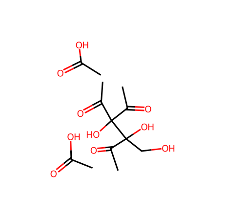 CC(=O)C(O)(CO)C(O)(C(C)=O)C(C)=O.CC(=O)O.CC(=O)O